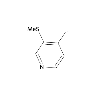 [CH2]c1ccncc1SC